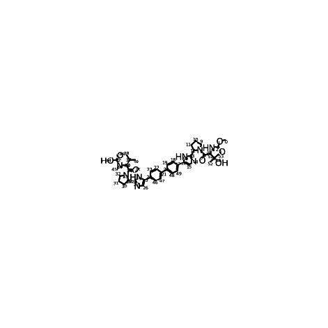 COC(=O)N[C@H](C(=O)N1CCCC1c1ncc(-c2ccc(-c3ccc(-c4cnc([C@@H]5CCCN5C(=O)[C@H](C(C)C)N(C)C(=O)O)[nH]4)cc3)cc2)[nH]1)C(C)(C)O